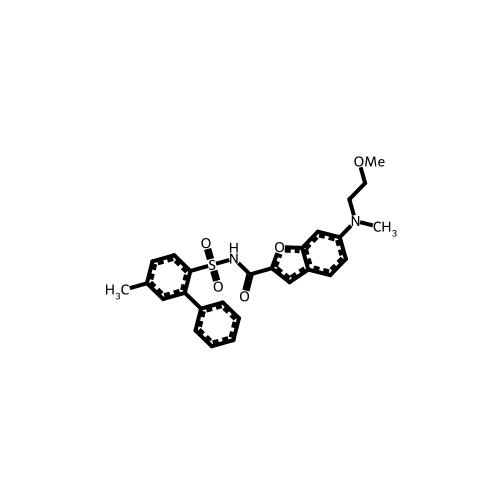 COCCN(C)c1ccc2cc(C(=O)NS(=O)(=O)c3ccc(C)cc3-c3ccccc3)oc2c1